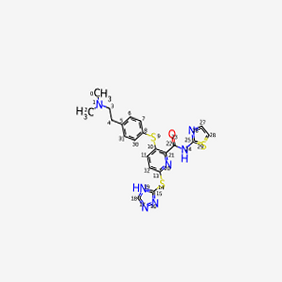 CN(C)CCc1ccc(Sc2ccc(Sc3nnc[nH]3)nc2C(=O)Nc2nccs2)cc1